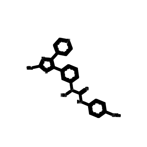 COc1ccc(NC(=O)N(O)c2cccc(-c3sc(C(C)(C)C)nc3-c3ccncc3)c2)cc1